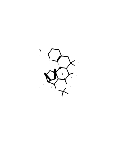 C=C1C(=O)[C@@]23[C@@H]4OC(C)(C)OC25OC[C@]2(C6=C(CC[C@@H](SCC)O6)CC(C)(C)[C@H]2[C@@H]5O)[C@@H]3CC[C@@H]14